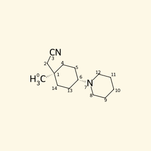 C[C@]1(CC#N)CC[C@H](N2CCCCC2)CC1